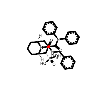 CN(Cc1ccccc1)C(=O)N1[C@H]2CCC[C@@H]1[C@@H](P(=O)(O)O)N(C(=O)N(c1ccccc1)c1ccccc1)C2